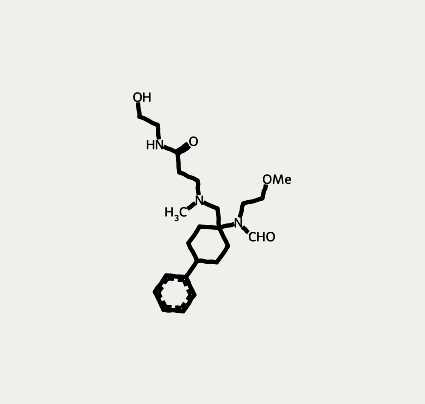 COCCN(C=O)C1(CN(C)CCC(=O)NCCO)CCC(c2ccccc2)CC1